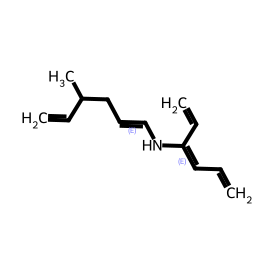 C=C/C=C(\C=C)N/C=C/CC(C)C=C